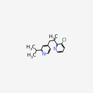 CC(C)c1cc(CC(C)c2ncccc2Cl)ccn1